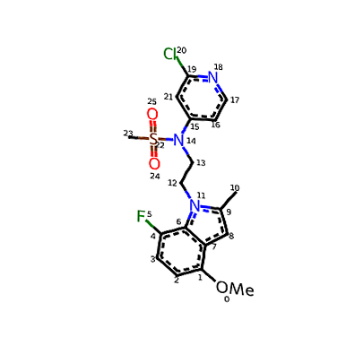 COc1ccc(F)c2c1cc(C)n2CCN(c1ccnc(Cl)c1)S(C)(=O)=O